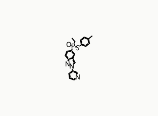 CCP(=O)(Sc1ccc(C)cc1)c1ccc2nn(-c3cccnc3)cc2c1